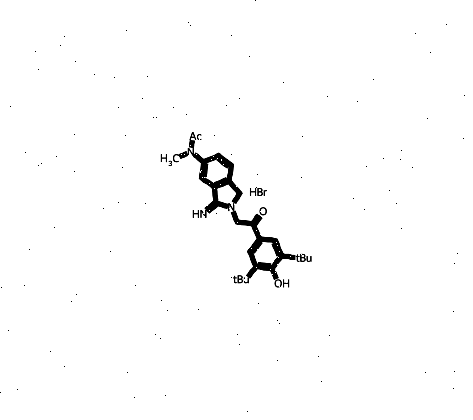 Br.CC(=O)N(C)c1ccc2c(c1)C(=N)N(CC(=O)c1cc(C(C)(C)C)c(O)c(C(C)(C)C)c1)C2